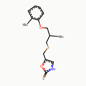 CC(C)(C)c1ccccc1OCC(CSCc1c[nH]c(=S)o1)C(C)(C)C